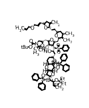 C=CCOCC=C[C@H]1CC(=C)[C@H](CC[C@H]2C[C@@H](C)C(=C)[C@@H](C[C@@H]3O[C@H](C[C@H]4CN(C(=O)OC(C)(C)C)C(C)(C)O4)[C@H](OC)[C@H]3[C@@H](C(O)C[C@H]3CC[C@@H]4O[C@@H]5[C@@H](O[C@H](CC(C=C)O[Si](CC)(CC)CC)[C@@H]5O[Si](c5ccccc5)(c5ccccc5)C(C)(C)C)[C@@H](O[Si](c5ccccc5)(c5ccccc5)C(C)(C)C)[C@H]4O3)S(=O)(=O)c3ccccc3)O2)O1